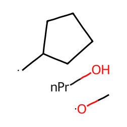 C[O].[CH2]C1CCCC1.[CH2]CCO